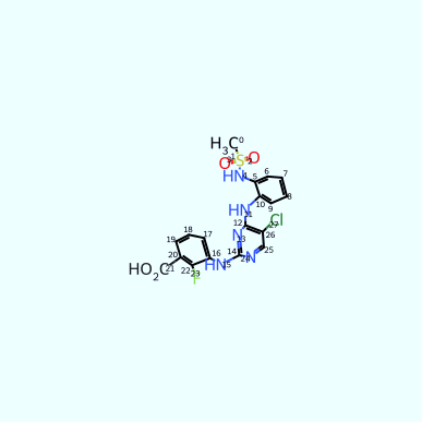 CS(=O)(=O)Nc1ccccc1Nc1nc(Nc2cccc(C(=O)O)c2F)ncc1Cl